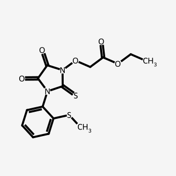 CCOC(=O)CON1C(=O)C(=O)N(c2ccccc2SC)C1=S